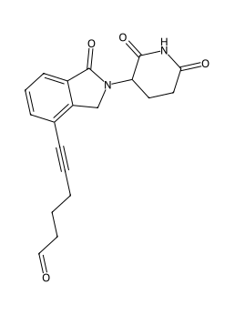 O=CCCCC#Cc1cccc2c1CN(C1CCC(=O)NC1=O)C2=O